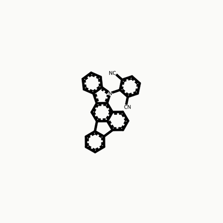 N#Cc1cccc(C#N)c1-n1c2ccccc2c2cc3c4c(cccc4c21)-c1ccccc1-3